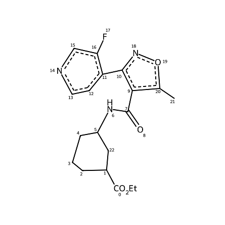 CCOC(=O)C1CCCC(NC(=O)c2c(-c3ccncc3F)noc2C)C1